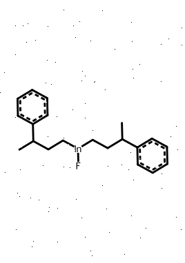 CC(C[CH2][In]([F])[CH2]CC(C)c1ccccc1)c1ccccc1